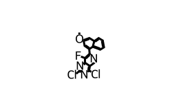 COc1cc(-c2ncc3c(Cl)nc(Cl)nc3c2F)c2ccccc2c1